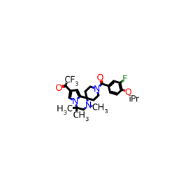 CC(C)Oc1ccc(C(=O)N2CCC3(CC2)c2cc(C(=O)C(F)(F)F)cn2C(C)(C)CN3C)cc1F